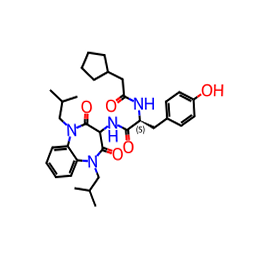 CC(C)CN1C(=O)C(NC(=O)[C@H](Cc2ccc(O)cc2)NC(=O)CC2CCCC2)C(=O)N(CC(C)C)c2ccccc21